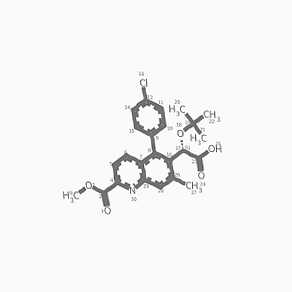 COC(=O)c1ccc2c(-c3ccc(Cl)cc3)c([C@H](OC(C)(C)C)C(=O)O)c(C)cc2n1